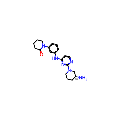 N[C@H]1CCCN(c2nccc(Nc3cccc(N4CCCCC4=O)c3)n2)C1